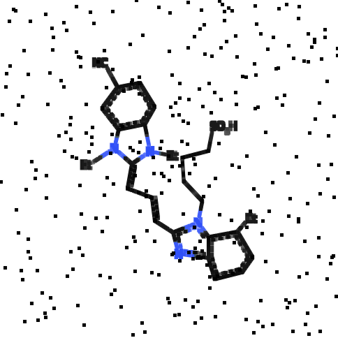 CCc1cccc2nc(C=CC=C3N(CC)c4ccc(C#N)cc4N3CC)n(CCCCS(=O)(=O)O)c12